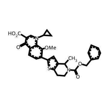 COc1c(-c2cc3c(s2)CCN(C(=O)OCc2ccccc2)C3C)ccc2c(=O)c(C(=O)O)cn(C3CC3)c12